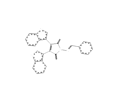 O=C1C(c2c[nH]c3ccccc23)=C(c2c[nH]c3ccccc23)C(=O)N1/N=C/c1ccccc1